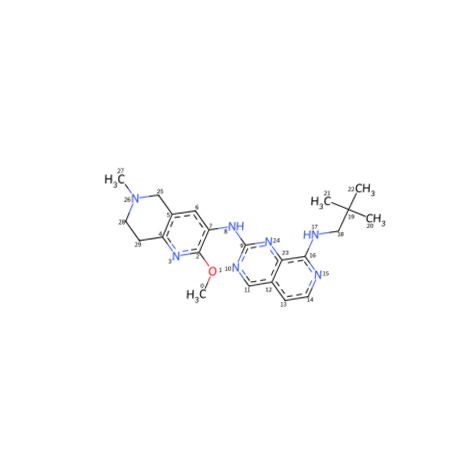 COc1nc2c(cc1Nc1ncc3ccnc(NCC(C)(C)C)c3n1)CN(C)CC2